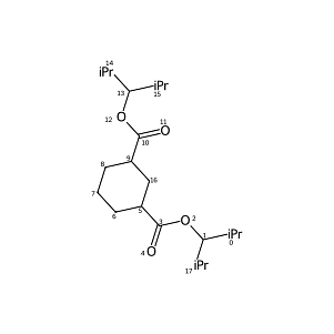 CC(C)C(OC(=O)C1CCCC(C(=O)OC(C(C)C)C(C)C)C1)C(C)C